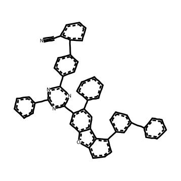 N#Cc1ccccc1-c1ccc(-c2nc(-c3ccccc3)nc(-c3cc4oc5cccc(-c6cccc(-c7ccccc7)c6)c5c4cc3-c3ccccc3)n2)cc1